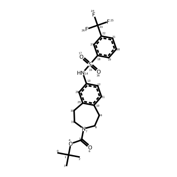 CC(C)(C)OC(=O)N1CCc2ccc(NS(=O)(=O)c3cccc(C(F)(F)F)c3)cc2CC1